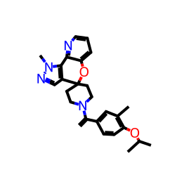 C=C(c1ccc(OC(C)C)c(C)c1)N1CCC2(CC1)Oc1cccnc1-c1c2cnn1C